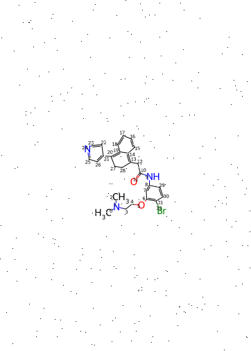 CN(C)CCOc1cc(NC(=O)CC2=c3ccccc3=C(c3ccncc3)CC2)ccc1Br